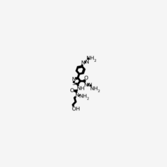 NN=NC(=O)C1C(C2C=CC(N=NN)=CC2)=NSC1NC(=O)N(N)CCCO